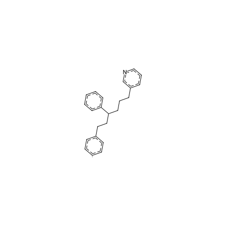 [c]1ccc(CCC(CCCc2cccnc2)c2ccccc2)cc1